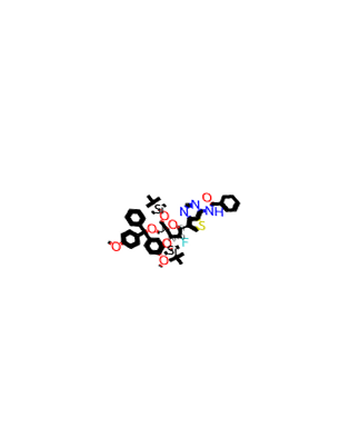 COc1ccc(C(OC[C@]2(CO[Si](C)(C)C(C)(C)C)O[C@@H](c3csc4c(NC(=O)C5=CC=CCC5)ncnc34)[C@H](F)[C@@H]2O[Si](C)(C)C(C)(C)C)(c2ccccc2)c2ccc(OC)cc2)cc1